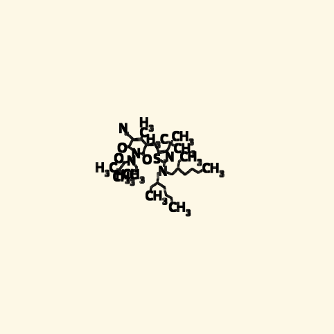 CCCCC(CC)CN(CC(CC)CCCC)c1nc(C(C)(C)C)c(/C=C2\C(=O)N(N(CC)C(=O)C(C)(C)C)C(=O)C(C#N)=C2C)s1